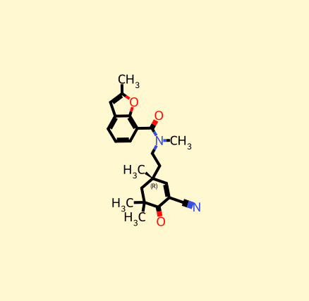 Cc1cc2cccc(C(=O)N(C)CC[C@]3(C)C=C(C#N)C(=O)C(C)(C)C3)c2o1